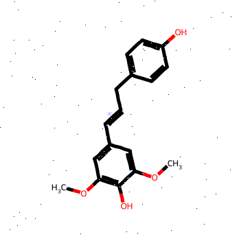 COc1cc(/C=C/Cc2ccc(O)cc2)cc(OC)c1O